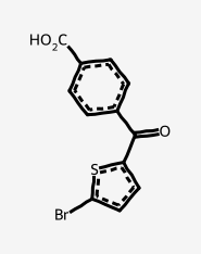 O=C(O)c1ccc(C(=O)c2ccc(Br)s2)cc1